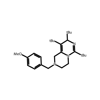 COc1ccc(CN2CCN3C(C(C)(C)C)=NC(C(C)(C)C)C(C(C)(C)C)=C3C2)cc1